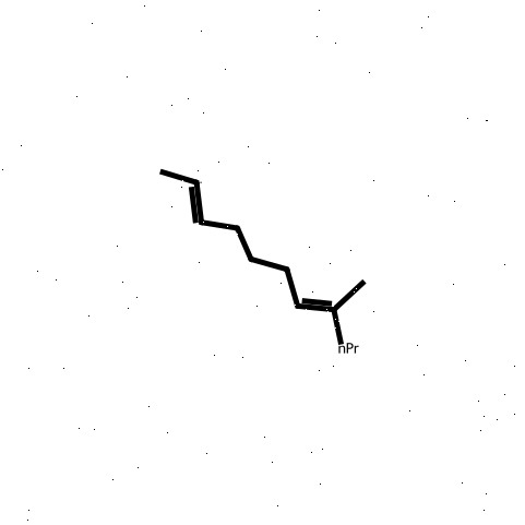 C[C]=CCCCC=C(C)CCC